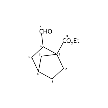 CCOC(=O)C12CCC([CH]C1C=O)C2